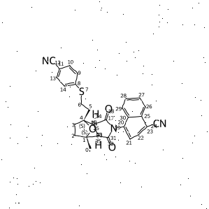 C[C@@]12CC[C@@](CCSc3ccc(C#N)cc3)(O1)[C@H]1C(=O)N(c3ccc(C#N)c4ccccc34)C(=O)[C@H]12